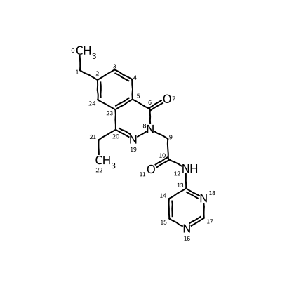 CCc1ccc2c(=O)n(CC(=O)Nc3ccncn3)nc(CC)c2c1